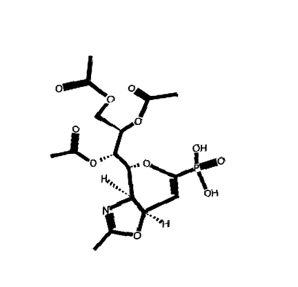 CC(=O)OC[C@@H](OC(C)=O)[C@@H](OC(C)=O)[C@@H]1OC(P(=O)(O)O)=C[C@H]2OC(C)=N[C@@H]12